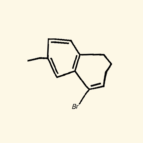 Cc1ccc2c(c1)C(Br)=CCC2